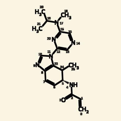 C=CC(=O)N[C@@H]1C=Cc2ncn(-c3cncc(N(C)C(C)C)n3)c2C1C